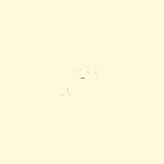 Cc1nc(SCc2cc(N3CCOC[C@@H]3C)nc(Cl)n2)sc1C